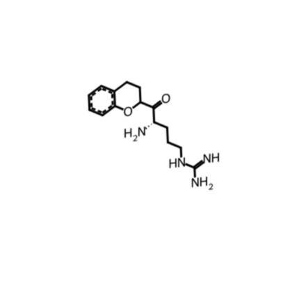 N=C(N)NCCC[C@H](N)C(=O)C1CCc2ccccc2O1